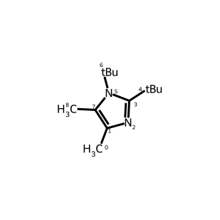 Cc1nc(C(C)(C)C)n(C(C)(C)C)c1C